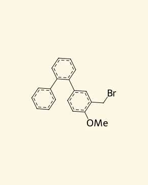 COc1ccc(-c2ccccc2-c2ccccc2)cc1CBr